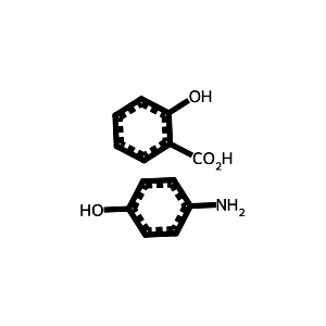 Nc1ccc(O)cc1.O=C(O)c1ccccc1O